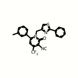 [C-]#[N+]c1c(C(F)(F)F)cc(-c2cccc(C)c2)n(Cc2csc(-c3ccccc3)n2)c1=O